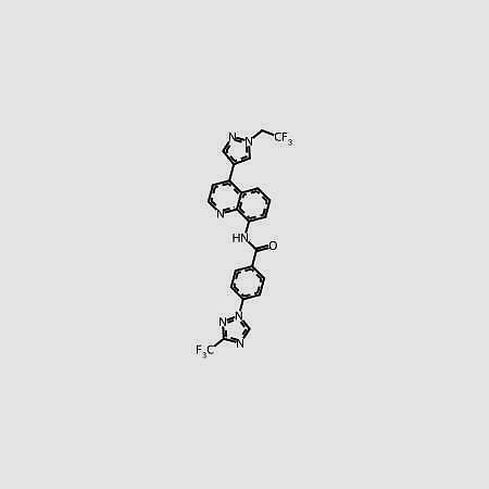 O=C(Nc1cccc2c(-c3cnn(CC(F)(F)F)c3)ccnc12)c1ccc(-n2cnc(C(F)(F)F)n2)cc1